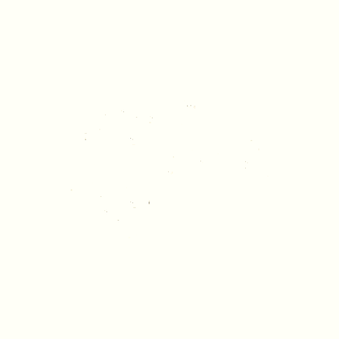 COc1cc(N(C)CCN(C)C)c([N+](=O)[O-])cc1Nc1ncc(Br)c(-c2cc(F)c3nc(C)n(C(C)C)c3c2)n1